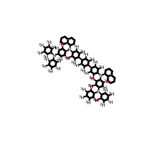 [2H]c1c([2H])c([2H])c(N(c2c([2H])c([2H])c([2H])c([2H])c2[2H])c2c([2H])c([2H])c(N(c3c([2H])c([2H])c(-c4c([2H])c([2H])c(-c5c([2H])c([2H])c(N(c6c([2H])c([2H])c(N(c7c([2H])c([2H])c([2H])c([2H])c7[2H])c7c([2H])c([2H])c([2H])c([2H])c7[2H])c([2H])c6[2H])c6cccc7ccccc67)c([2H])c5[2H])c([2H])c4[2H])c([2H])c3[2H])c3cccc4ccccc34)c([2H])c2[2H])c([2H])c1[2H]